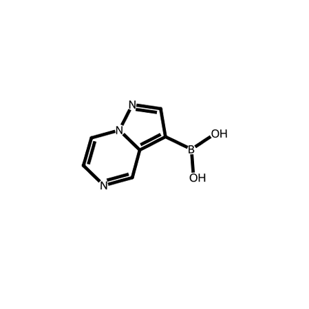 OB(O)c1cnn2ccncc12